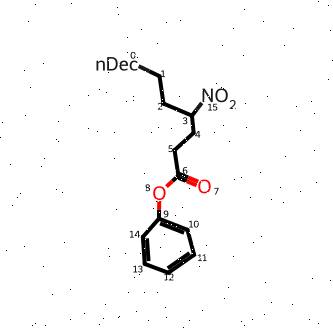 CCCCCCCCCCCCC(CCC(=O)Oc1ccccc1)[N+](=O)[O-]